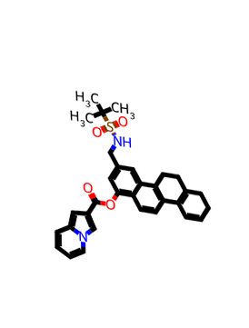 CC(C)(C)S(=O)(=O)NCc1cc(OC(=O)c2cc3ccccn3c2)c2ccc3c(c2c1)CCC1=C3C=CCC1